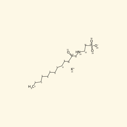 CCCCCCCCCCCC(=O)CNCCS(=O)(=O)[O-].[K+]